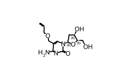 C=CCOCc1cn([C@H]2C[C@@H](O)[C@@H](CO)O2)c(=O)nc1N